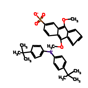 CC(C)(C)c1ccc([I+]c2ccc(C(C)(C)C)cc2)cc1.COc1c2ccccc2c(OC)c2cc(S(=O)(=O)[O-])ccc12